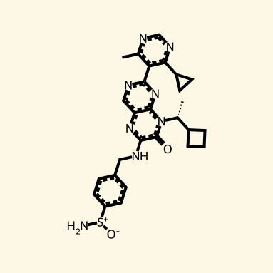 Cc1ncnc(C2CC2)c1-c1ncc2nc(NCc3ccc([S+](N)[O-])cc3)c(=O)n([C@H](C)C3CCC3)c2n1